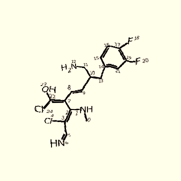 CNC(=C(Cl)C=N)C(/C=C/C(CN)Cc1ccc(F)c(F)c1)=C(/O)Cl